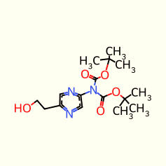 CC(C)(C)OC(=O)N(C(=O)OC(C)(C)C)c1cnc(CCO)cn1